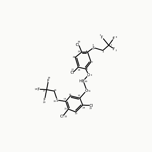 FC(F)(F)CSc1cc(OBOc2cc(SCC(F)(F)F)c(Cl)cc2Cl)c(Cl)cc1Cl